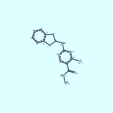 NNC(=O)c1cnc(NC2Cc3ccccc3C2)nc1C(F)(F)F